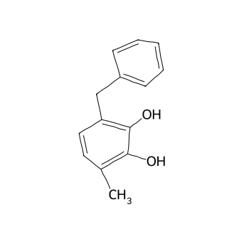 Cc1ccc(Cc2ccccc2)c(O)c1O